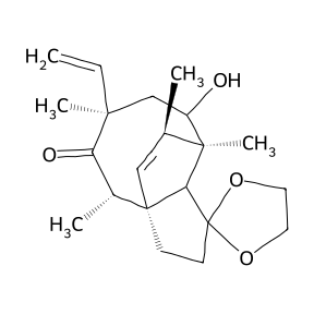 C=C[C@@]1(C)CC(O)[C@@]2(C)C3C4(CC[C@@]3(C=C[C@H]2C)[C@H](C)C1=O)OCCO4